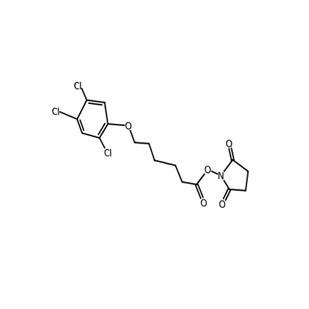 O=C(CCCCCOc1cc(Cl)c(Cl)cc1Cl)ON1C(=O)CCC1=O